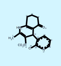 CCOC(=O)C1=C(C)NC2=C(C(=O)CCC2)C1c1cccnc1Cl